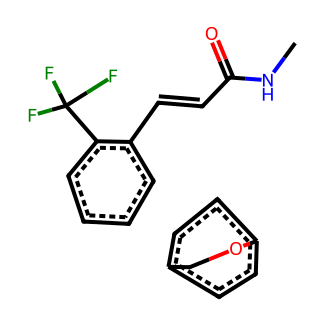 CNC(=O)C=Cc1ccccc1C(F)(F)F.c1cc2ccc1CO2